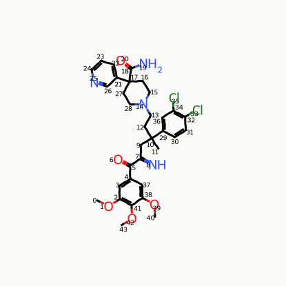 COc1cc(C(=O)C(=N)CC(C)(CCN2CCC(C(N)=O)(c3cccnc3)CC2)c2ccc(Cl)c(Cl)c2)cc(OC)c1OC